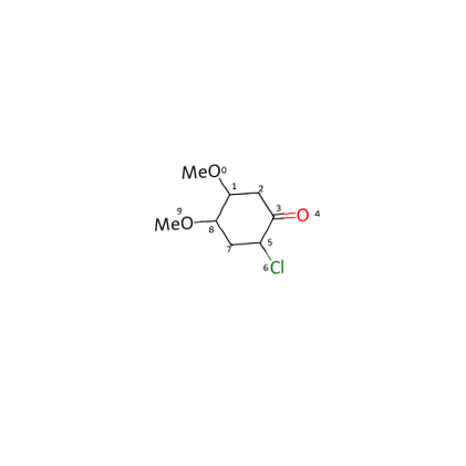 COC1CC(=O)C(Cl)CC1OC